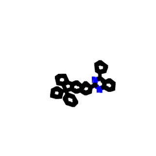 c1ccc(-c2nc(-c3ccc4cc5c(cc4c3)-c3ccccc3C5(c3ccccc3)c3ccccc3)nc3ccccc23)cc1